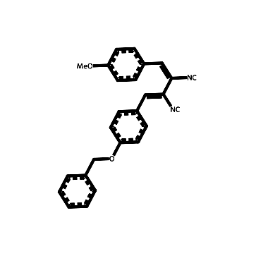 [C-]#[N+]C(=Cc1ccc(OC)cc1)C(=Cc1ccc(OCc2ccccc2)cc1)[N+]#[C-]